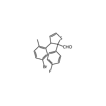 Cc1ccc(Br)cc1C1C=CSC1(C=O)c1ccc(F)cc1